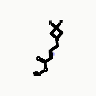 CC(C)(C)OC(=O)/C=C/CN1CC(F)(F)C1